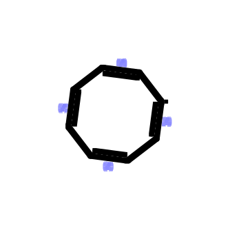 [C]1=C\C=C/C=C\C=C/1